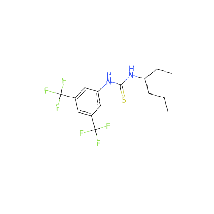 CCCC(CC)NC(=S)Nc1cc(C(F)(F)F)cc(C(F)(F)F)c1